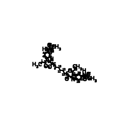 CCC(=O)n1c(C(=O)SCCCCCSC(=O)c2nc3ccc(NS(C)(=O)=O)cc3n2C(=O)CC)nc2cc(NS(C)(=O)=O)ccc21